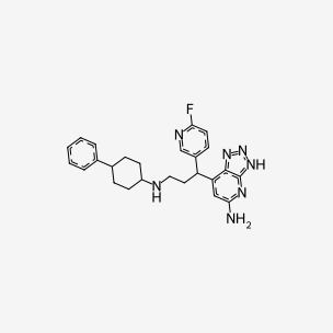 Nc1cc(C(CCNC2CCC(c3ccccc3)CC2)c2ccc(F)nc2)c2nn[nH]c2n1